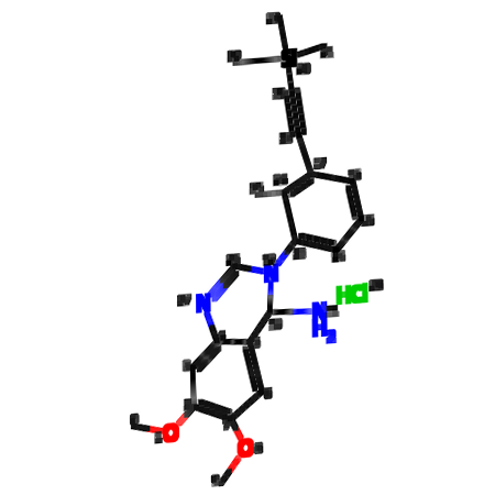 COc1cc2c(cc1OC)C(N)N(c1cccc(C#C[Si](C)(C)C)c1C)C=N2.Cl